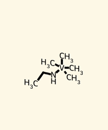 CC[NH][V]([CH3])([CH3])([CH3])[CH3]